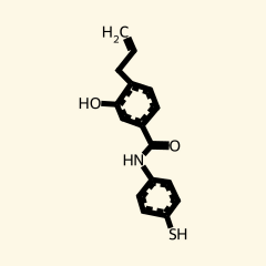 C=CCc1ccc(C(=O)Nc2ccc(S)cc2)cc1O